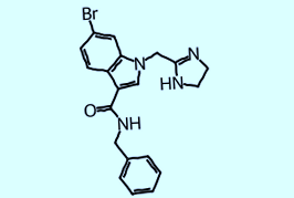 O=C(NCc1ccccc1)c1cn(CC2=NCCN2)c2cc(Br)ccc12